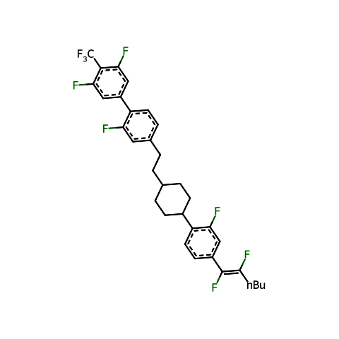 CCCC/C(F)=C(\F)c1ccc(C2CCC(CCc3ccc(-c4cc(F)c(C(F)(F)F)c(F)c4)c(F)c3)CC2)c(F)c1